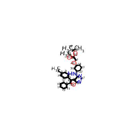 CCc1ccc(-c2c(-c3ccccc3)oc3ncnc(N[C@H]4CCC[C@H](OCC(=O)OC(C)(C)C)C4)c23)cc1